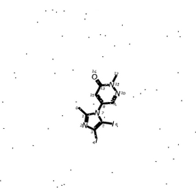 Cc1nc(I)c(I)n1-c1cnn(C)c(=O)c1